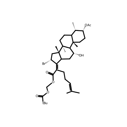 CC(=O)O[C@@H]1CC[C@@]2(C)C(CC[C@@]3(C)C2[C@H](O)CC2/C(=C(\CCC=C(C)C)C(=O)OCOC(=O)C(C)(C)C)[C@H](Br)C[C@@]23C)[C@@H]1C